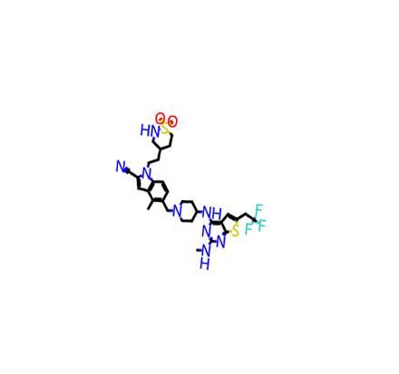 CNc1nc(NC2CCN(Cc3ccc4c(cc(C#N)n4CCC4CCS(=O)(=O)NC4)c3C)CC2)c2cc(CC(F)(F)F)sc2n1